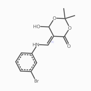 CC1(C)OC(=O)/C(=C/Nc2cccc(Br)c2)C(O)O1